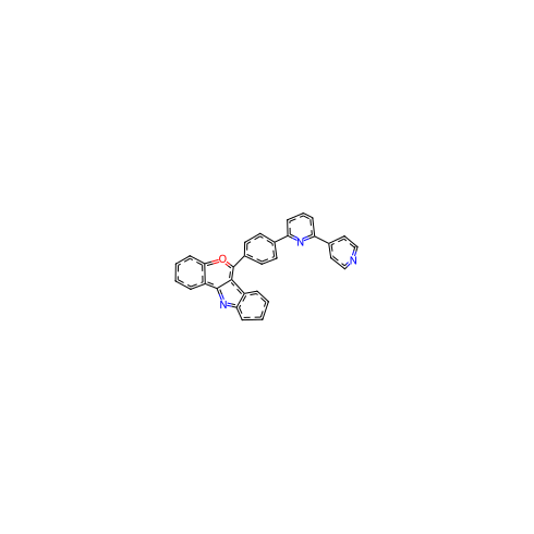 c1cc(-c2ccncc2)nc(-c2ccc(-c3oc4ccccc4c4nc5ccccc5c3-4)cc2)c1